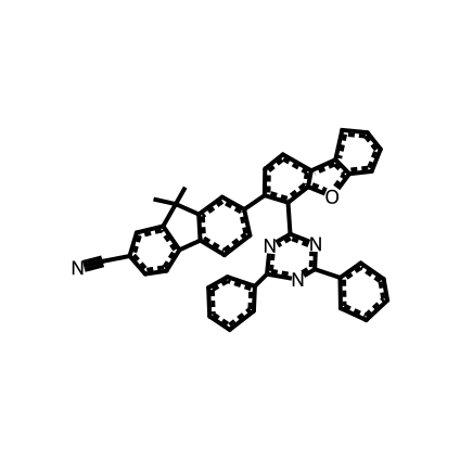 CC1(C)c2cc(C#N)ccc2-c2ccc(-c3ccc4c(oc5ccccc54)c3-c3nc(-c4ccccc4)nc(-c4ccccc4)n3)cc21